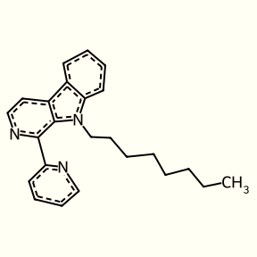 CCCCCCCCn1c2ccccc2c2ccnc(-c3ccccn3)c21